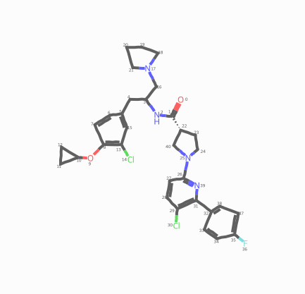 O=C(NC(Cc1ccc(OC2CC2)c(Cl)c1)CN1CCCC1)[C@@H]1CCN(c2ccc(Cl)c(-c3ccc(F)cc3)n2)C1